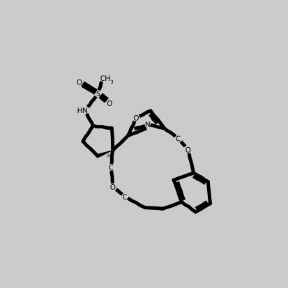 CS(=O)(=O)NC1CC[C@@]2(COCCCc3cccc(c3)OCc3coc2n3)C1